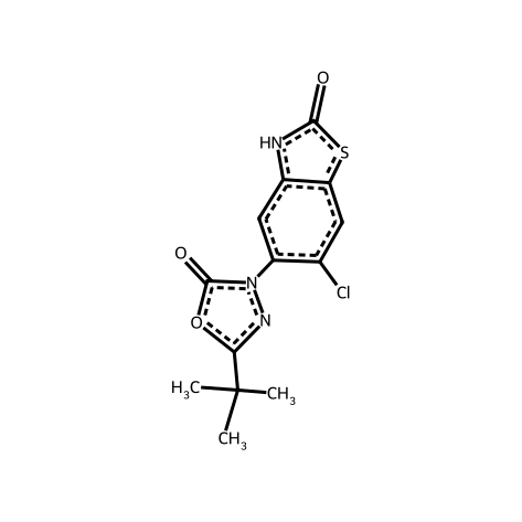 CC(C)(C)c1nn(-c2cc3[nH]c(=O)sc3cc2Cl)c(=O)o1